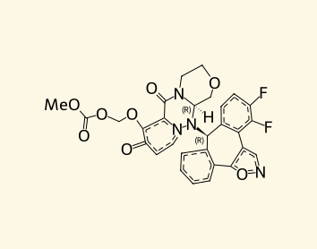 COC(=O)OCOc1c2n(ccc1=O)N([C@@H]1c3ccccc3-c3oncc3-c3c1ccc(F)c3F)[C@@H]1COCCN1C2=O